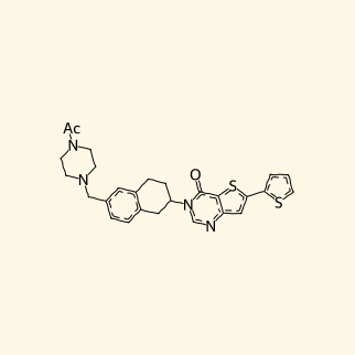 CC(=O)N1CCN(Cc2ccc3c(c2)CCC(n2cnc4cc(-c5cccs5)sc4c2=O)C3)CC1